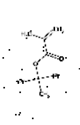 C=C(C)C(=O)OC(C)(CCC)C(C)C